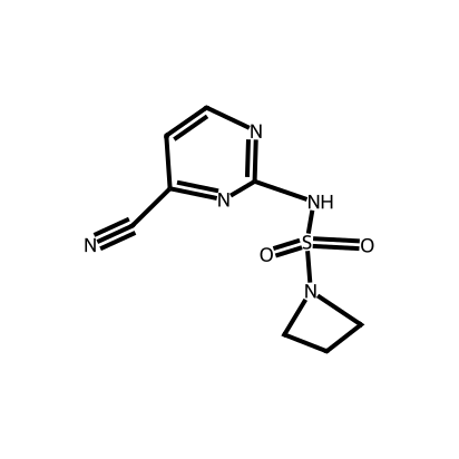 N#Cc1ccnc(NS(=O)(=O)N2CCC2)n1